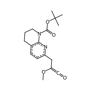 COC(=C=O)Cc1ccc2c(n1)N(C(=O)OC(C)(C)C)CCC2